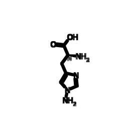 N[C@@H](Cc1cn(N)cn1)C(=O)O